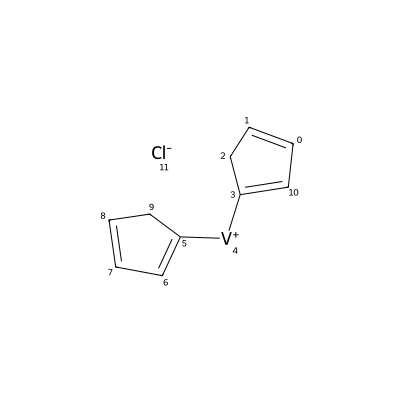 C1=CC[C]([V+][C]2=CC=CC2)=C1.[Cl-]